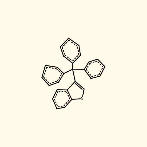 C1=C(C(c2ccccc2)(c2ccccc2)c2ccccc2)c2ccccc2[N]1